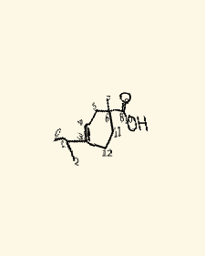 CC(C)C1=CCC(C)(C(=O)O)CC1